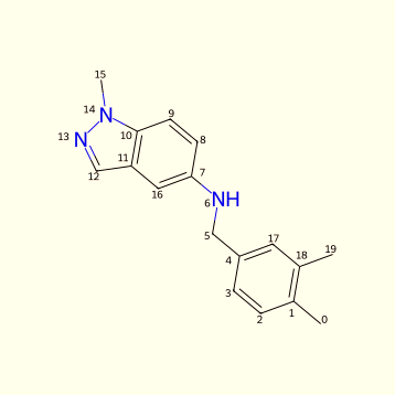 Cc1ccc(CNc2ccc3c(cnn3C)c2)cc1C